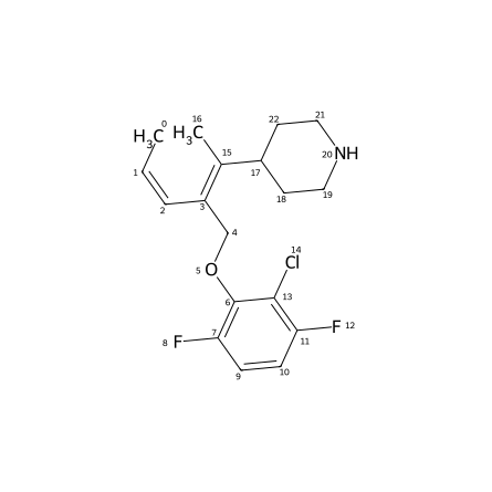 C/C=C\C(COc1c(F)ccc(F)c1Cl)=C(/C)C1CCNCC1